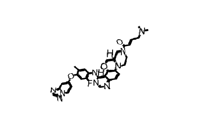 Cc1cc(Nc2ncnc3ccc4c(c23)OC[C@H]2CN(C(=O)/C=C/CN(C)C)CCN42)c(F)cc1Oc1ccn2ncnc2c1